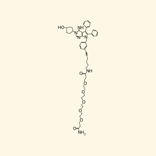 N=c1c2c(-c3ccccc3)c(-c3ccccc3)n(Cc3cccc(C#CCCCCNC(=O)CCOCCOCCOCCOCCOCCC(N)=O)c3)c2ncn1C1CCC(O)CC1